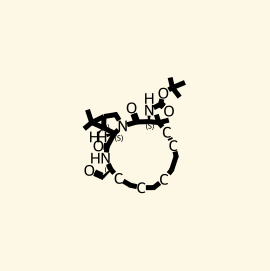 CC(C)(C)OC(=O)N[C@@H]1C(=O)N2CC3[C@@H]([C@H]2C(=O)N[C@H](C=O)CCCCCCCCCC1(C)C)C3(C)C